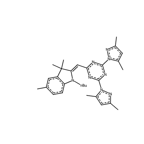 CCCCN1/C(=C\c2nc(-n3nc(C)cc3C)nc(-n3nc(C)cc3C)n2)C(C)(C)c2cc(C)ccc21